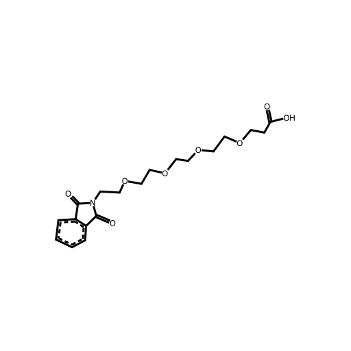 O=C(O)CCOCCOCCOCCOCCN1C(=O)c2ccccc2C1=O